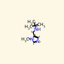 Cn1cncc1CNC(C)(C)C